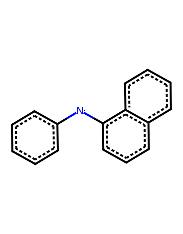 c1ccc([N]c2cccc3ccccc23)cc1